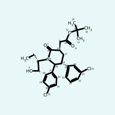 CC[C@@H](CO)N1C(=O)[C@@H](CC(=O)OC(C)(C)C)C[C@H](c2cccc(Cl)c2)C1c1ccc(Cl)cc1